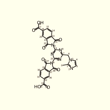 Cc1nccn1Cc1nc(N2C(=O)c3ccc(C(=O)O)cc3C2=O)nc(N2C(=O)c3ccc(C(=O)O)cc3C2=O)n1